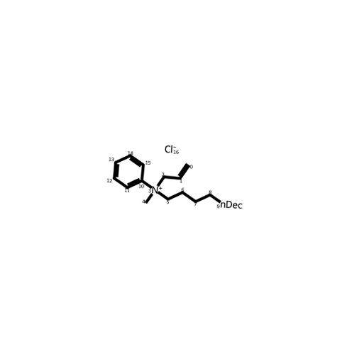 C=CC[N+](C)(CCCCCCCCCCCCCC)c1ccccc1.[Cl-]